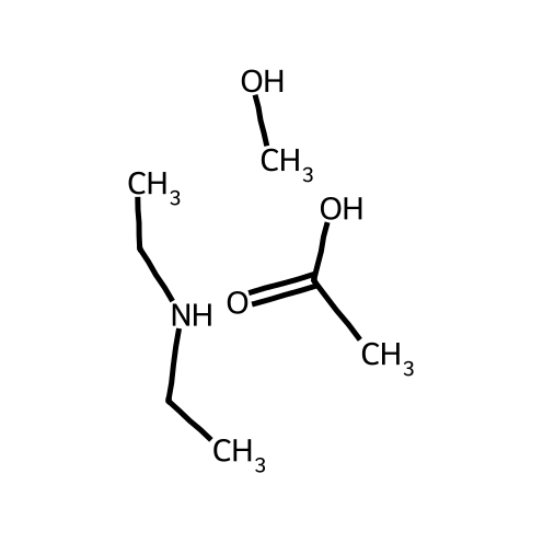 CC(=O)O.CCNCC.CO